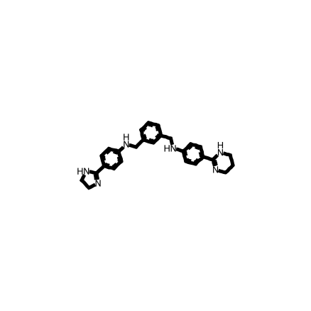 c1cc(CNc2ccc(C3=NCCCN3)cc2)cc(CNc2ccc(C3=NCCN3)cc2)c1